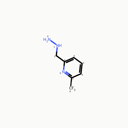 NNCc1cccc(C(F)(F)F)n1